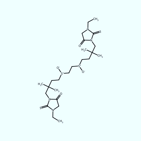 CCN1CC(=O)N(CC(C)(C)CC[S+]([O-])CC[S+]([O-])CCC(C)(C)CN2C(=O)CN(CC)C2=S)C1=S